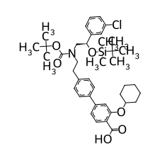 CC(C)(C)OC(=O)N(CCc1ccc(-c2ccc(C(=O)O)c(OC3CCCCC3)c2)cc1)C[C@H](O[Si](C)(C)C(C)(C)C)c1cccc(Cl)c1